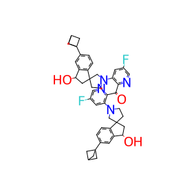 O=C(c1ncc(F)cc1N1CCC2(CC(O)c3cc(C45CC(C4)C5)ccc32)C1)c1ncc(F)cc1N1CCC2(CC(O)c3cc(C45CC(C4)C5)ccc32)C1